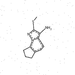 CSc1nn2c3c(ccc2c1N)CCC3